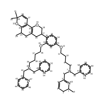 CC1CC=CC(CN(CCCCOc2ccc(C3COC4=C(CC(C)C5=C4C=CC(C)(C)O5)C3)c(OCCCCN(Cc3ccccn3)Cc3ccccn3)c2)Cc2ccccn2)=N1